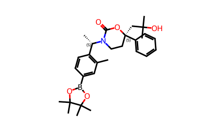 Cc1cc(B2OC(C)(C)C(C)(C)O2)ccc1[C@H](C)N1CC[C@](CC(C)(C)O)(c2ccccc2)OC1=O